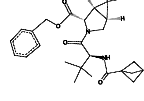 CC(C)(C)[C@H](NC(=O)C12CC(C1)C2)C(=O)N1C[C@H]2[C@@H]([C@H]1C(=O)OCc1ccccc1)C2(C)C